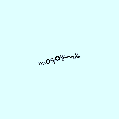 C=CC(=O)OCCCCOC(=O)Oc1ccc(C(=O)Oc2ccc(OCOC)c(C)c2)cc1